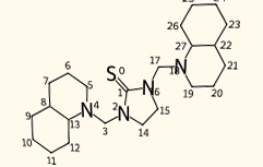 S=C1N(CN2CCCC3CCCCC32)CCN1CN1CCCC2CCCCC21